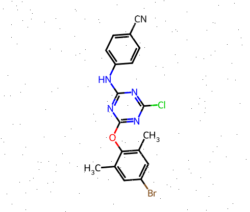 Cc1cc(Br)cc(C)c1Oc1nc(Cl)nc(Nc2ccc(C#N)cc2)n1